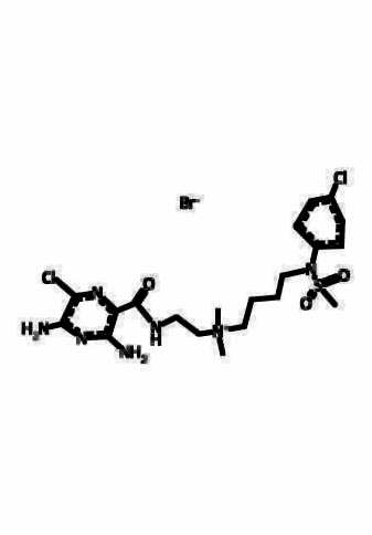 C[N+](C)(CCCCN(c1ccc(Cl)cc1)S(C)(=O)=O)CCNC(=O)c1nc(Cl)c(N)nc1N.[Br-]